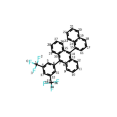 FC(F)(F)c1cc(-c2c3ccccc3c(-c3cccc4ccccc34)c3ccccc23)cc(C(F)(F)F)c1